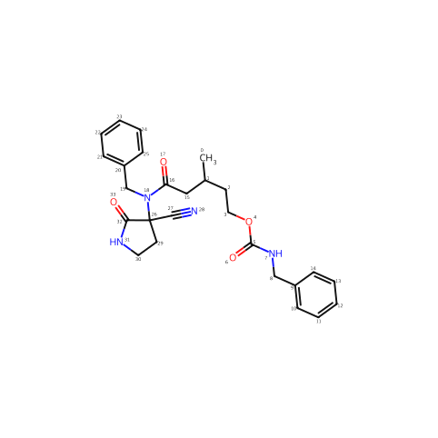 CC(CCOC(=O)NCc1ccccc1)CC(=O)N(Cc1ccccc1)C1(C#N)CCNC1=O